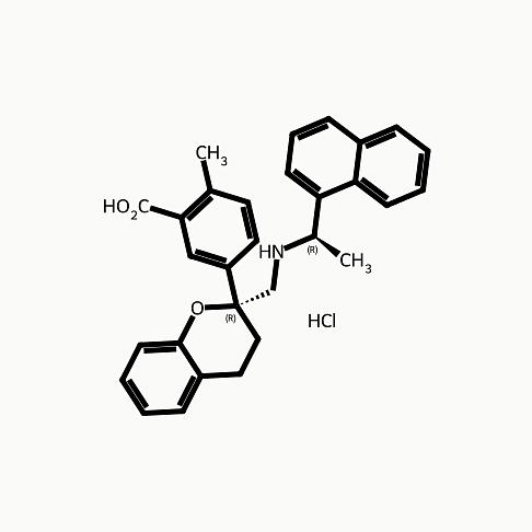 Cc1ccc([C@@]2(CN[C@H](C)c3cccc4ccccc34)CCc3ccccc3O2)cc1C(=O)O.Cl